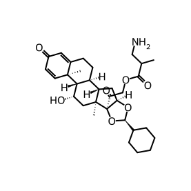 CC(CN)C(=O)OCC(=O)[C@@]12O[C@H](C3CCCCC3)O[C@@H]1C[C@H]1[C@@H]3CCC4=CC(=O)C=C[C@]4(C)[C@H]3[C@@H](O)C[C@@]12C